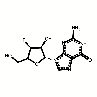 Nc1nc2c(ncn2[C@@H]2OC(CO)[C@@H](F)[C@H]2O)c(=O)[nH]1